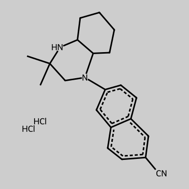 CC1(C)CN(c2ccc3cc(C#N)ccc3c2)C2CCCCC2N1.Cl.Cl